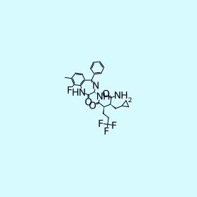 Cc1ccc2c(c1F)NC(=O)[C@@H](NC(=O)[C@H](CCC(F)(F)F)[C@H](CC1CC1)C(N)=O)N=C2c1ccccc1